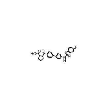 O=C(O)C1CCCC1C(=O)c1ccc(-c2ccc(Nc3nc4cc(F)ccc4s3)cc2)cc1